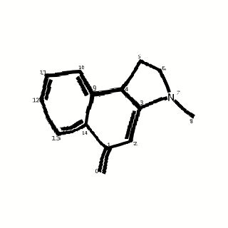 C=C1C=C2C(CCN2C)c2ccccc21